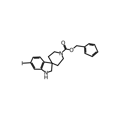 O=C(OCc1ccccc1)N1CCC2(CC1)CNc1cc(I)ccc12